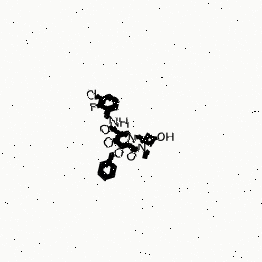 CCN1C(=O)c2c(OCc3ccccc3)c(=O)c(C(=O)NCc3cccc(Cl)c3F)cn2CC12CC(O)C2